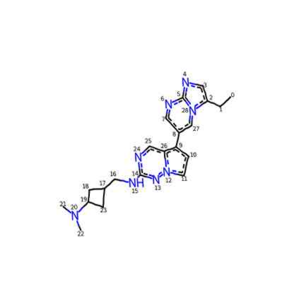 CCc1cnc2ncc(-c3ccn4nc(NCC5CC(N(C)C)C5)ncc34)cn12